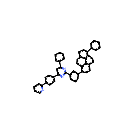 c1ccc(-c2cc(-c3ccc(-c4ccccn4)cc3)nc(-c3cccc(-c4ccc5ccc6c(-c7ccccc7)ccc7ccc4c5c76)c3)n2)cc1